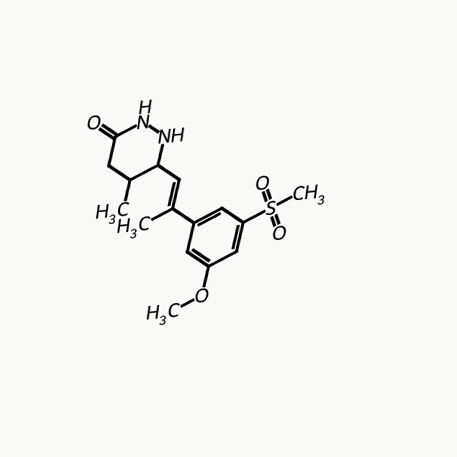 COc1cc(/C(C)=C/C2NNC(=O)CC2C)cc(S(C)(=O)=O)c1